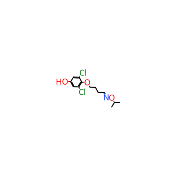 CC(C)ON=CCCCOc1c(Cl)cc(O)cc1Cl